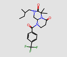 CCC(C)CN1CC2N(C(=O)c3ccc(C(F)(F)F)cc3)CCC(=O)N2C(C)(C)C1=O